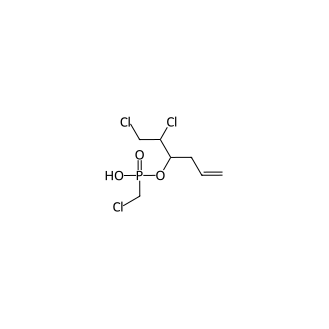 C=CCC(OP(=O)(O)CCl)C(Cl)CCl